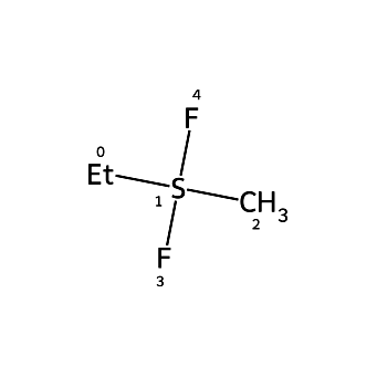 CCS(C)(F)F